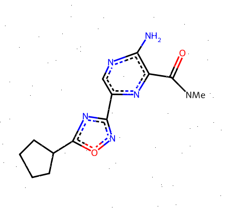 CNC(=O)c1nc(-c2noc(C3CCCC3)n2)cnc1N